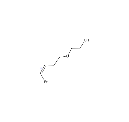 CC/C=C\CCOCCO